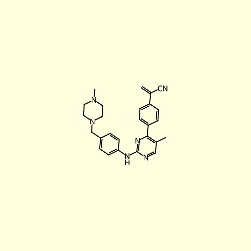 C=C(C#N)c1ccc(-c2nc(Nc3ccc(CN4CCN(C)CC4)cc3)ncc2C)cc1